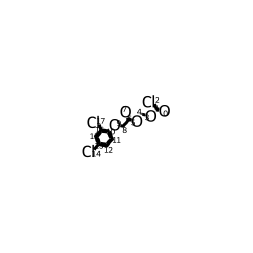 O=C(Cl)OCOC(=O)COc1ccc(Cl)cc1Cl